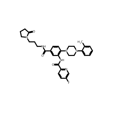 Cc1ccccc1N1CCN(c2ccc(C(=O)NCCCN3CCCC3=O)cc2NC(=O)c2ccc(F)cn2)CC1